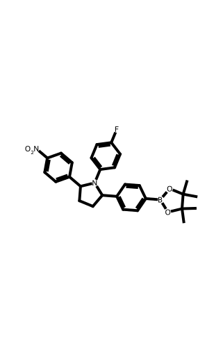 CC1(C)OB(c2ccc(C3CCC(c4ccc([N+](=O)[O-])cc4)N3c3ccc(F)cc3)cc2)OC1(C)C